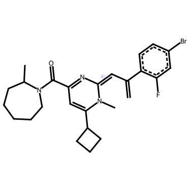 C=C(/C=C1/N=C(C(=O)N2CCCCCC2C)C=C(C2CCC2)N1C)c1ccc(Br)cc1F